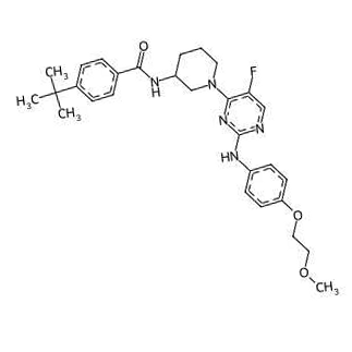 COCCOc1ccc(Nc2ncc(F)c(N3CCCC(NC(=O)c4ccc(C(C)(C)C)cc4)C3)n2)cc1